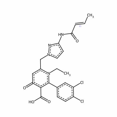 C/C=C/C(=O)Nc1ccn(Cc2cc(=O)c(C(=O)O)c(-c3ccc(Cl)c(Cl)c3)n2CC)n1